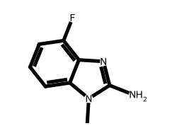 Cn1c(N)nc2c(F)cccc21